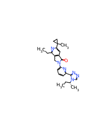 CCc1nc(C2(C)CC2)cc2c1CN(c1cccc(-c3nncn3[C@H](C)CC)n1)C2=O